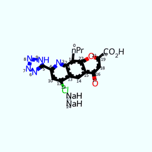 CCCc1c2nc(-c3nnn[nH]3)cc(Cl)c2cc2c(=O)cc(C(=O)O)oc12.[NaH].[NaH]